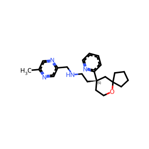 Cc1cnc(CNCC[C@]2(c3ccccn3)CCOC3(CCCC3)C2)cn1